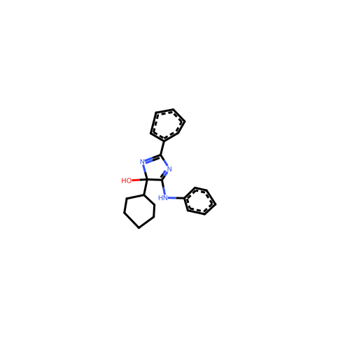 OC1(C2CCCCC2)N=C(c2ccccc2)N=C1Nc1ccccc1